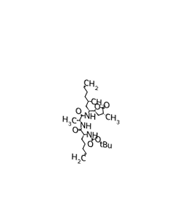 C=CCCC[C@H](NC(=O)OC(C)(C)C)C(=O)N[C@@H](C)C(=O)N[C@@H](C[C@H](C)CCC=C)[C@@H]1C[C@@H](C)C(=O)O1